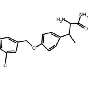 CC(c1ccc(OCc2cccc(Cl)c2)cc1)C(N)C(N)=O